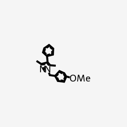 COc1ccc(Cn2nc(C)c(-c3ccccc3)c2C)cc1